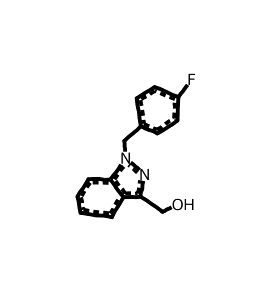 OCc1nn(Cc2ccc(F)cc2)c2ccccc12